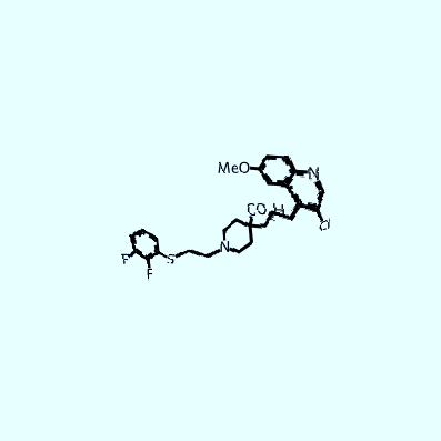 COc1ccc2ncc(Cl)c(CCCC3(C(=O)O)CCN(CCSc4cccc(F)c4F)CC3)c2c1